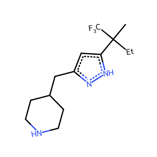 CCC(C)(c1cc(CC2CCNCC2)n[nH]1)C(F)(F)F